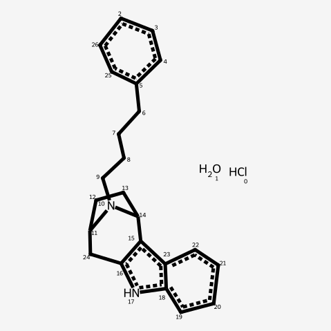 Cl.O.c1ccc(CCCCN2C3CCC2c2c([nH]c4ccccc24)C3)cc1